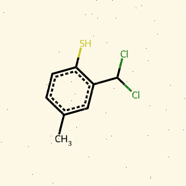 Cc1ccc(S)c(C(Cl)Cl)c1